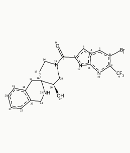 O=C(c1cn2cc(Br)c(C(F)(F)F)nc2n1)N1CC[C@]2(Cc3ccccc3CN2)[C@H](O)C1